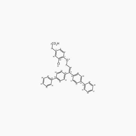 O=C(O)Cc1ccc(OCC=C(c2ccc(-c3ccccc3)cc2)c2ccc(-c3ccccc3)cc2)c(Cl)c1